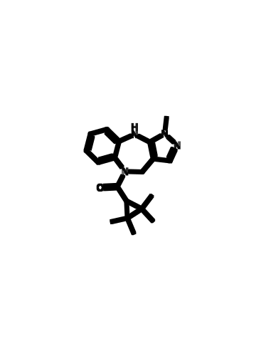 Cn1ncc2c1Nc1ccccc1N(C(=O)C1C(C)(C)C1(C)C)C2